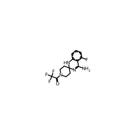 NC1=NC2(CCN(C(=O)C(F)(F)F)CC2)Nc2cccc(F)c21